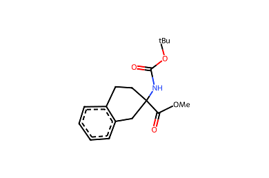 COC(=O)C1(NC(=O)OC(C)(C)C)CCc2ccccc2C1